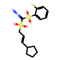 [N-]=[N+]=C(S(=O)(=O)CC=CC1CCCC1)S(=O)(=O)c1ccccc1F